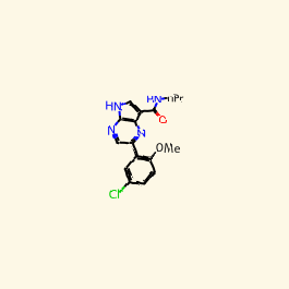 CCCNC(=O)c1c[nH]c2ncc(-c3cc(Cl)ccc3OC)nc12